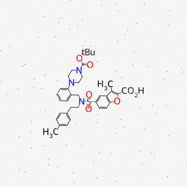 Cc1ccc(CCN(Cc2ccccc2N2CCN(C(=O)OC(C)(C)C)CC2)S(=O)(=O)c2ccc3oc(C(=O)O)c(C)c3c2)cc1